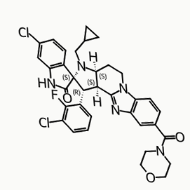 O=C(c1ccc2c(c1)nc1n2CC[C@H]2[C@@H]1[C@H](c1cccc(Cl)c1F)[C@]1(C(=O)Nc3cc(Cl)ccc31)N2CC1CC1)N1CCOCC1